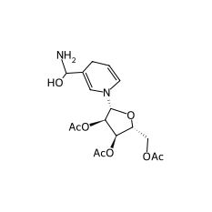 CC(=O)OC[C@H]1O[C@@H](N2C=CCC(C(N)O)=C2)[C@H](OC(C)=O)[C@@H]1OC(C)=O